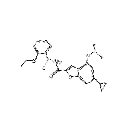 CCOc1ccccc1[S+]([O-])NC(=O)c1cc2c(OC(F)F)cc(C3CC3)cc2o1